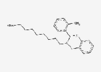 CCCCCCCCCCCCCCCCCCN(Cc1ccccc1C)Cc1ccccc1C